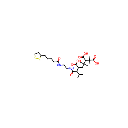 CC(C)C(C(=O)NCCNC(=O)CCCCC1CCSS1)C(CC(C)(C)C(C(=O)O)C(C)(C)C(=O)O)C(=O)O